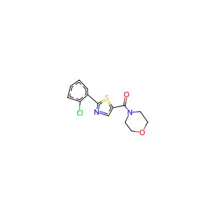 O=C(c1cnc(-c2ccccc2Cl)s1)N1CCOCC1